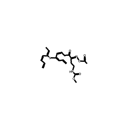 C=C/C=C\C(=C/C)SC(/C=C\CC(=O)/C(CCNC(=O)OC)=N/OC(C)=O)=C/C=C